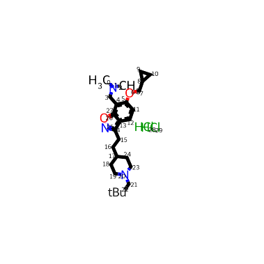 CN(C)Cc1c(OCC2CC2)ccc2c(CCC3CCN(CC(C)(C)C)CC3)noc12.Cl.Cl